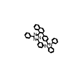 c1ccc(-c2nc(-c3ccccc3)nc(-c3c(-c4ccc(C5Nc6ccccc6N5c5ccccc5)cc4)ccc4ccccc34)n2)cc1